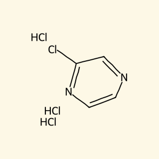 Cl.Cl.Cl.Clc1cnccn1